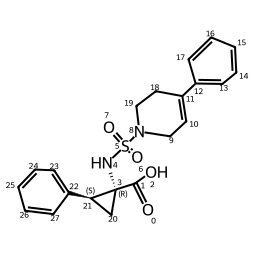 O=C(O)[C@@]1(NS(=O)(=O)N2CC=C(c3ccccc3)CC2)C[C@H]1c1ccccc1